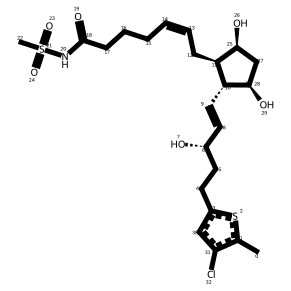 Cc1sc(CC[C@H](O)/C=C/[C@@H]2[C@@H](C/C=C\CCCC(=O)NS(C)(=O)=O)[C@@H](O)C[C@H]2O)cc1Cl